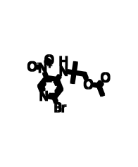 CC(=O)OCC(C)(C)Nc1cc(Br)ncc1[N+](=O)[O-]